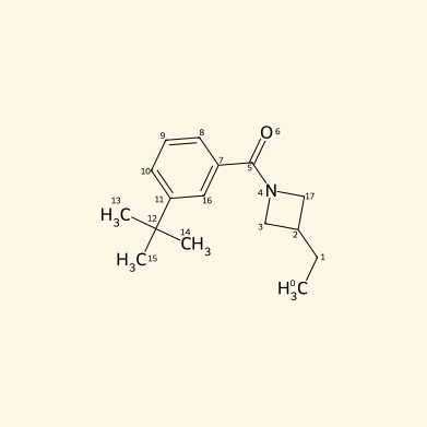 CCC1CN(C(=O)c2cccc(C(C)(C)C)c2)C1